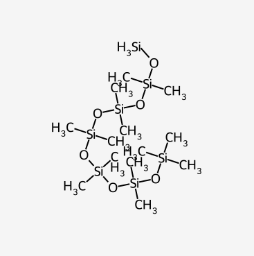 C[Si](C)(C)O[Si](C)(C)O[Si](C)(C)O[Si](C)(C)O[Si](C)(C)O[Si](C)(C)O[SiH3]